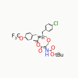 C[C@@H]1OC(=O)[C@@H](NC(=O)OC(C)(C)C)COC[C@H](Cc2ccc(Cl)cc2)[C@H]1Cc1ccc(OC(F)(F)F)cc1